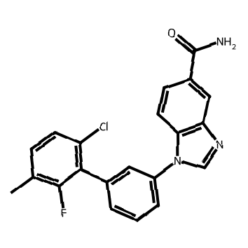 Cc1ccc(Cl)c(-c2cccc(-n3cnc4cc(C(N)=O)ccc43)c2)c1F